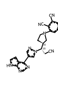 N#CC[C@@H]([C@H]1CCN(c2cccc(C#N)c2C#N)C1)n1cc(-c2ncnc3[nH]ccc23)cn1